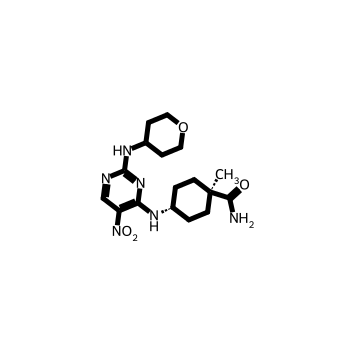 C[C@]1(C(N)=O)CC[C@H](Nc2nc(NC3CCOCC3)ncc2[N+](=O)[O-])CC1